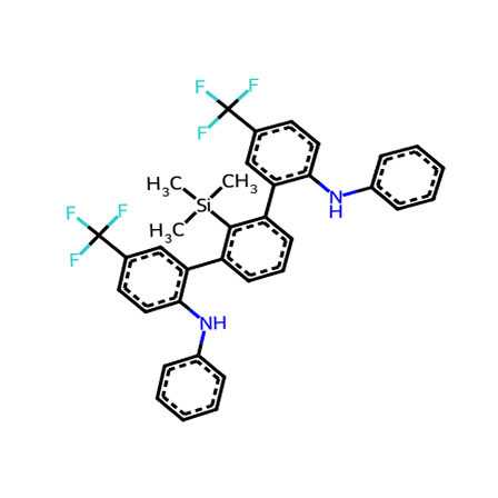 C[Si](C)(C)c1c(-c2cc(C(F)(F)F)ccc2Nc2ccccc2)cccc1-c1cc(C(F)(F)F)ccc1Nc1ccccc1